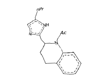 CCCc1cnc(C2CCc3ccccc3N2C(C)=O)[nH]1